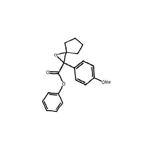 COc1ccc(C2(C(=O)Oc3ccccc3)OC23CCCC3)cc1